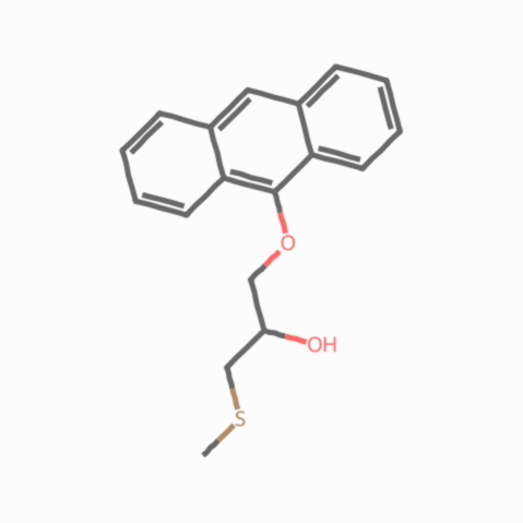 CSCC(O)COc1c2ccccc2cc2ccccc12